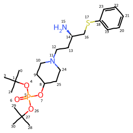 CC(C)(C)OP(=O)(OC1CCN(CC[C@@H](N)CSc2ccccc2)CC1)OC(C)(C)C